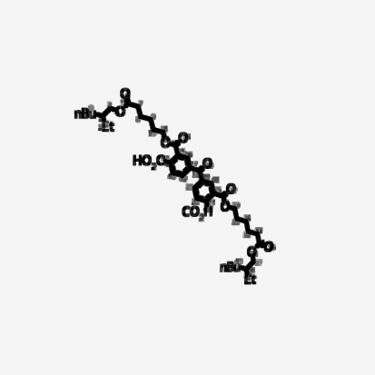 CCCCC(CC)COC(=O)CCCCCOC(=O)c1cc(C(=O)c2ccc(C(=O)O)c(C(=O)OCCCCCC(=O)OCC(CC)CCCC)c2)ccc1C(=O)O